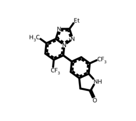 CCc1nc2c(C)cc(C(F)(F)F)c(-c3cc4c(c(C(F)(F)F)c3)NC(=O)C4)n2n1